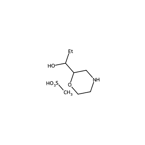 CCC(O)C1CNCCO1.CS(=O)(=O)O